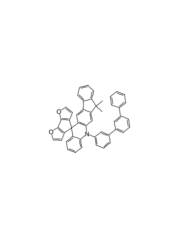 CC1(C)c2ccccc2-c2cc3c(cc21)N(c1cccc(-c2cccc(-c4ccccc4)c2)c1)c1ccccc1C31c2ccoc2-c2occc21